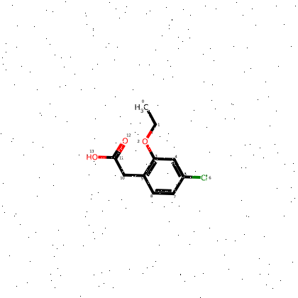 CCOc1cc(Cl)ccc1CC(=O)O